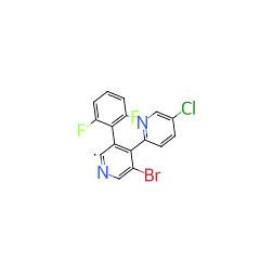 Fc1cccc(F)c1-c1[c]ncc(Br)c1-c1ccc(Cl)cn1